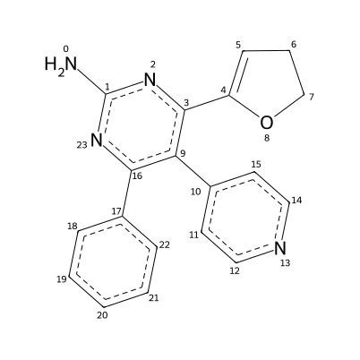 Nc1nc(C2=CCCO2)c(-c2ccncc2)c(-c2ccccc2)n1